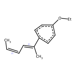 C/C=C\C=C(/C)c1ccc(OCC)cc1